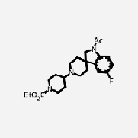 CCOC(=O)N1CCC(N2CCC3(CC2)CN(C(C)=O)c2ccc(F)cc23)CC1